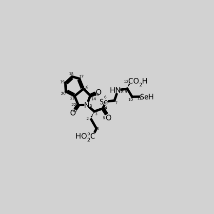 O=C(O)CC[C@@H](C(=O)[Se]CN[C@@H](C[SeH])C(=O)O)N1C(=O)c2ccccc2C1=O